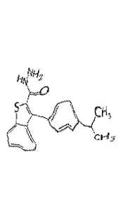 CC(C)c1ccc(-c2c(C(=O)NN)sc3ccccc23)cc1